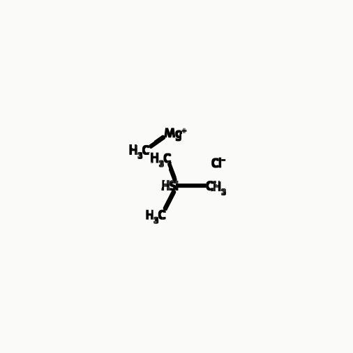 C[SiH](C)C.[CH3][Mg+].[Cl-]